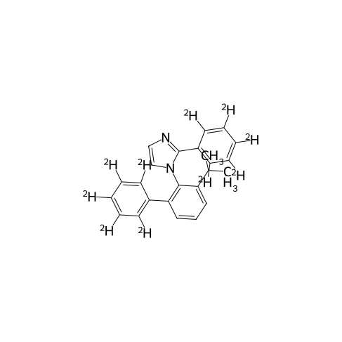 [2H]c1c([2H])c([2H])c(-c2cccc(C(C)C)c2-n2ccnc2-c2c([2H])c([2H])c([2H])c([2H])c2[2H])c([2H])c1[2H]